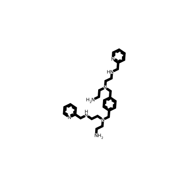 NCCN(CCNCc1ccccn1)Cc1ccc(CN(CCN)CCNCc2ccccn2)cc1